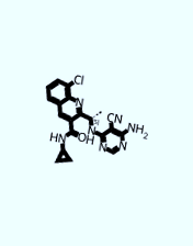 C[C@H](Nc1ncnc(N)c1C#N)c1nc2c(Cl)cccc2cc1C(=O)NC1CC1